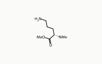 CN[C@@H](CCCN)C(=O)OC